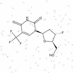 O=c1[nH]c(=O)n([C@H]2C[C@H](F)[C@@H](CO)O2)cc1C(F)(F)F